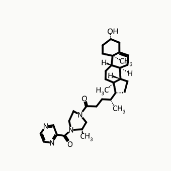 C[C@H](CCC(=O)N1CCN(C(=O)c2cnccn2)[C@@H](C)C1)[C@H]1CC[C@H]2[C@@H]3CC=C4C[C@@H](O)CC[C@]4(C)[C@H]3CC[C@]12C